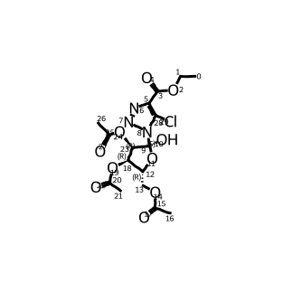 CCOC(=O)c1nnn([C@@]2(O)O[C@H](COC(C)=O)[C@@H](OC(C)=O)[C@H]2OC(C)=O)c1Cl